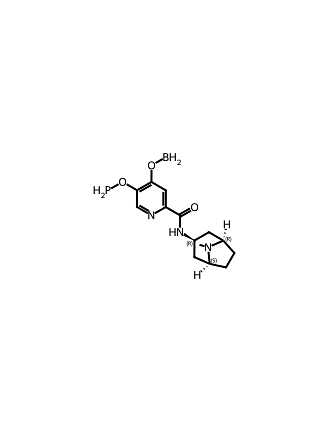 BOc1cc(C(=O)N[C@H]2C[C@H]3CC[C@@H](C2)N3C)ncc1OP